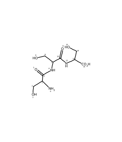 NC(CO)C(=O)NC(CO)C(=O)NC(CO)C(=O)O